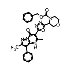 Cc1[nH]c2c(-c3ccccc3)c(C(F)(F)F)nn2c(=O)c1-c1nnc(C2COCCN2C(=O)OCc2ccccc2)o1